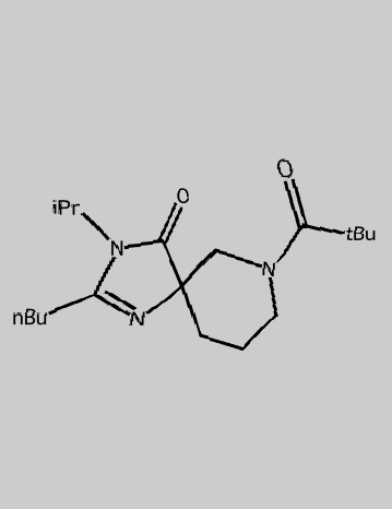 CCCCC1=NC2(CCCN(C(=O)C(C)(C)C)C2)C(=O)N1C(C)C